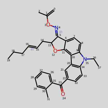 C=C(C)O/N=C1/c2ccc3c(c2OC1C/C=C/CCC)c1cc(C(=O)c2ccccc2C)ccc1n3CC